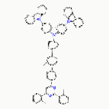 Cc1cc(-c2ccc(-n3c4ccc(-n5c6ccccc6c6ccccc65)cc4c4cc(-n5c6ccccc6c6ccccc65)ccc43)cc2)ccc1-c1ccc(-c2cc(-c3ccccc3C)nc(-c3ccccc3C)n2)cc1